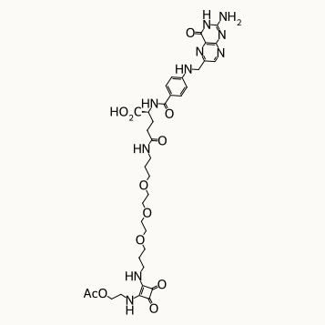 CC(=O)OCCNc1c(NCCCOCCOCCOCCCNC(=O)CC[C@H](NC(=O)c2ccc(NCc3cnc4nc(N)[nH]c(=O)c4n3)cc2)C(=O)O)c(=O)c1=O